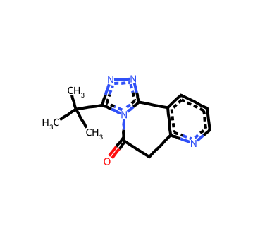 CC(C)(C)c1nnc2n1C(=O)Cc1ncccc1-2